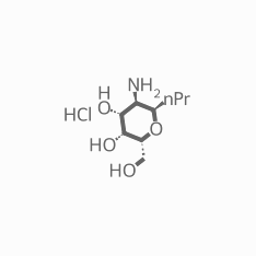 CCC[C@H]1O[C@H](CO)[C@H](O)[C@H](O)[C@H]1N.Cl